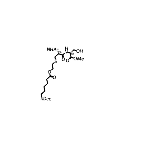 CCCCCCCCCCCCCCCC(=O)OCCSC[C@@H](NC(C)=O)C(=O)N[C@@H](CO)C(=O)OC